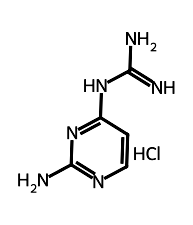 Cl.N=C(N)Nc1ccnc(N)n1